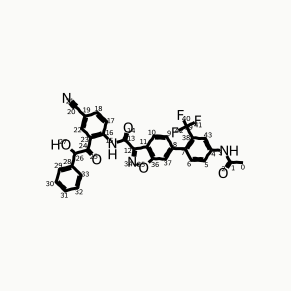 CC(=O)Nc1ccc(-c2ccc3c(C(=O)Nc4ccc(C#N)cc4C(=O)C(O)c4ccccc4)noc3c2)c(C(F)(F)F)c1